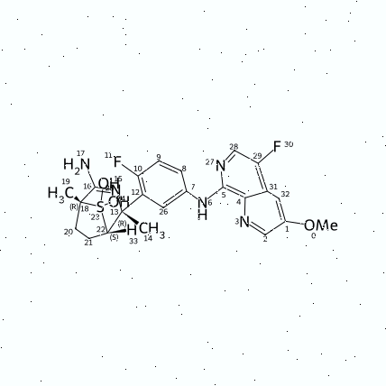 COc1cnc2c(Nc3ccc(F)c([C@@]4(C)N=C(N)[C@@]5(C)CC[C@@H]4S5(O)O)c3)ncc(F)c2c1